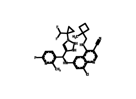 Cc1nc(F)ccc1[C@H](Nc1cc(Cl)c2ncc(C#N)c(NCC3(C)CCC3)c2c1)C1=CN(C2(C(F)F)CC2)NN1